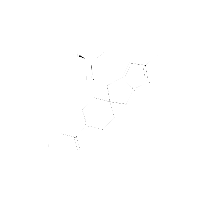 Cc1cc2n(n1)CC1(CCN(C(=O)OC(C)(C)C)CC1)[C@@H]2N[S@+]([O-])C(C)(C)C